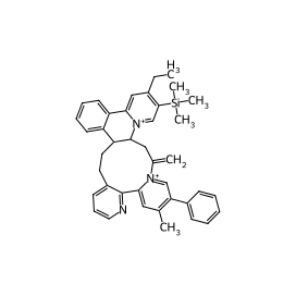 C=C1CC2C(CCc3cccnc3-c3cc(C)c(-c4ccccc4)c[n+]31)c1ccccc1-c1cc(CC)c([Si](C)(C)C)c[n+]12